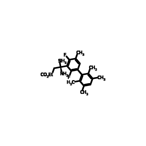 CCOC(=O)C[C@](N)([SiH3])c1c(F)c(C)cc(-c2c(C)c(C)cc(C)c2C)c1F